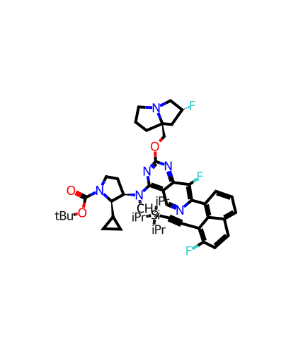 CC(C)[Si](C#Cc1c(F)ccc2cccc(-c3ncc4c(N(C)[C@@H]5CCN(C(=O)OC(C)(C)C)[C@@H]5C5CC5)nc(OC[C@@]56CCCN5C[C@H](F)C6)nc4c3F)c12)(C(C)C)C(C)C